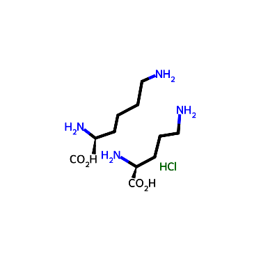 Cl.NCCCC[C@H](N)C(=O)O.NCCC[C@H](N)C(=O)O